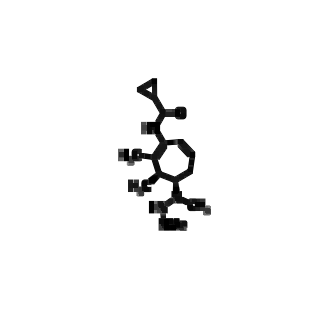 CNNN(C)[C@@H]1CC=CC(NC(=O)C2CC2)=C(C)[C@@H]1C